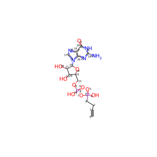 C#CCCP(=O)(O)OP(=O)(O)OCC1OC(n2cnc3c(=O)[nH]c(N)nc32)C(O)C1O